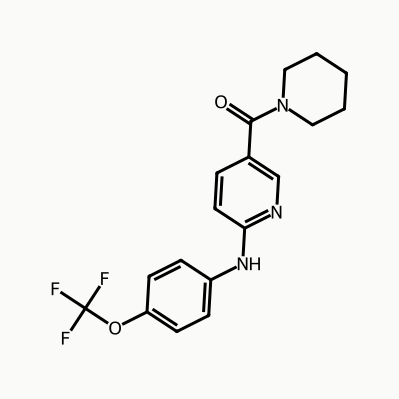 O=C(c1ccc(Nc2ccc(OC(F)(F)F)cc2)nc1)N1CCCCC1